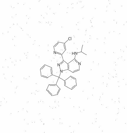 CC(C)Nc1nccc2c1c(-c1cc(Cl)ccn1)nn2C(c1ccccc1)(c1ccccc1)c1ccccc1